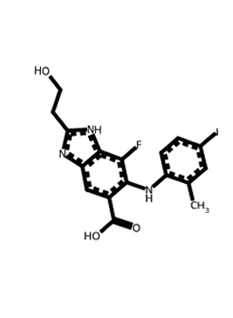 Cc1cc(I)ccc1Nc1c(C(=O)O)cc2nc(CCO)[nH]c2c1F